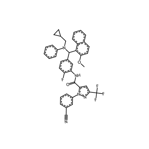 COc1ccc2ccccc2c1C(c1ccc(F)c(NC(=O)c2cc(C(F)(F)F)nn2-c2cccc(C#N)c2)c1)N(CC1CC1)c1ccccc1